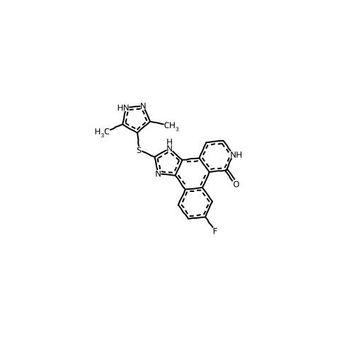 Cc1n[nH]c(C)c1Sc1nc2c3ccc(F)cc3c3c(=O)[nH]ccc3c2[nH]1